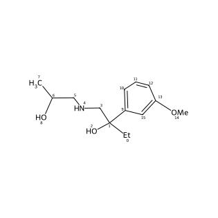 CCC(O)(CNCC(C)O)c1cccc(OC)c1